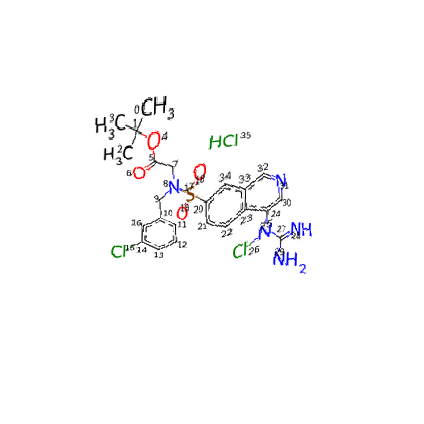 CC(C)(C)OC(=O)CN(Cc1cccc(Cl)c1)S(=O)(=O)c1ccc2c(N(Cl)C(=N)N)cncc2c1.Cl